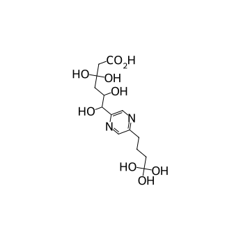 O=C(O)CC(O)(O)CC(O)C(O)c1cnc(CCCC(O)(O)O)cn1